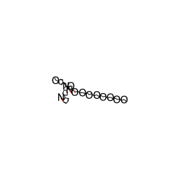 COCCOCCOCCOCCOCCOCCOCCOCCN1C(=O)N(Cc2ccc(OC)cc2)C[C@]12CC[C@](c1ccccc1)(N(C)C)CC2